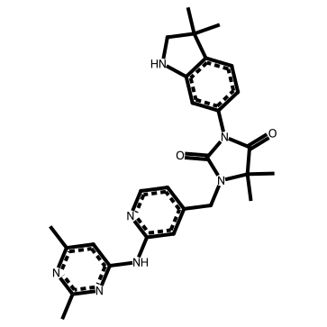 Cc1cc(Nc2cc(CN3C(=O)N(c4ccc5c(c4)NCC5(C)C)C(=O)C3(C)C)ccn2)nc(C)n1